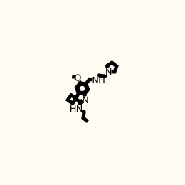 CCCNC1=Nc2cc(CNCCN3CCCC3)c(OC)cc2C12CCC2